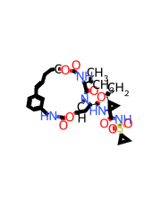 C=C[C@@H]1C[C@]1(NC(=O)[C@@H]1C[C@@H]2CN1C(=O)[C@H](C(C)C)NC(=O)OCCC/C=C/c1cccc(c1)CNC(=O)O2)C(=O)NS(=O)(=O)C1CC1